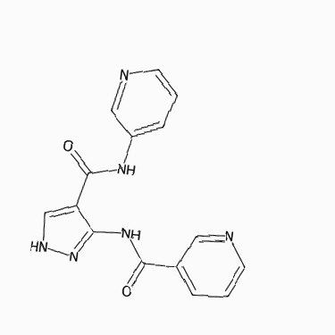 O=C(Nc1n[nH]cc1C(=O)Nc1cccnc1)c1cccnc1